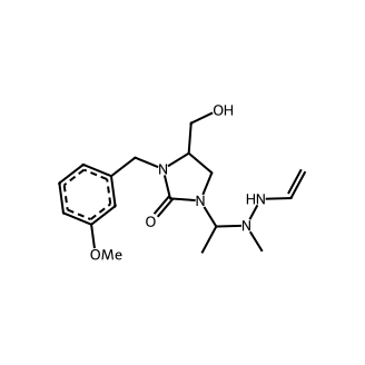 C=CNN(C)C(C)N1CC(CO)N(Cc2cccc(OC)c2)C1=O